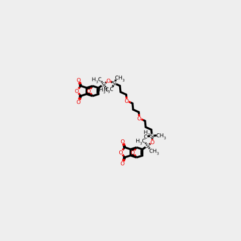 C[Si](C)(CCCOCCCOCCC[Si](C)(C)O[Si](C)(C)c1cc2oc1c1c2C(=O)OC1=O)O[Si](C)(C)c1cc2oc1c1c2C(=O)OC1=O